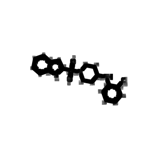 O=S(=O)(c1cc2ccccc2s1)N1CCC(Nc2ccccc2Cl)CC1